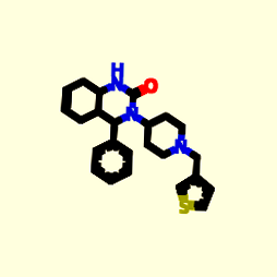 O=C1NC2CC=CCC2C(c2ccccc2)N1C1CCN(Cc2ccsc2)CC1